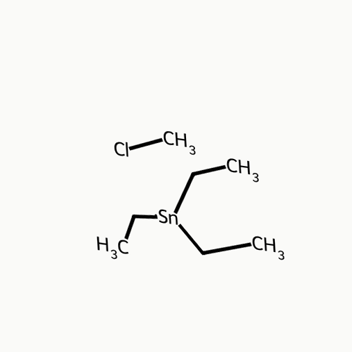 CCl.C[CH2][Sn]([CH2]C)[CH2]C